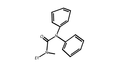 CCN(C)C(=O)N(c1ccccc1)c1ccccc1